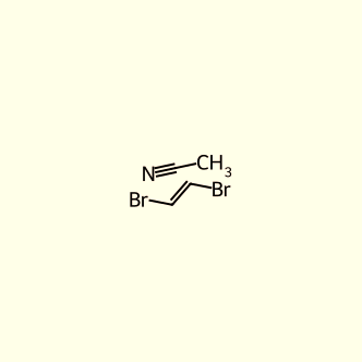 BrC=CBr.CC#N